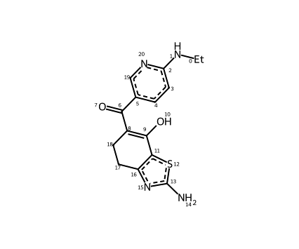 CCNc1ccc(C(=O)C2=C(O)c3sc(N)nc3CC2)cn1